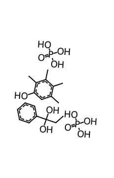 CCC(O)(O)c1ccccc1.Cc1cc(O)c(C)c(C)c1C.O=P(O)(O)O.O=P(O)(O)O